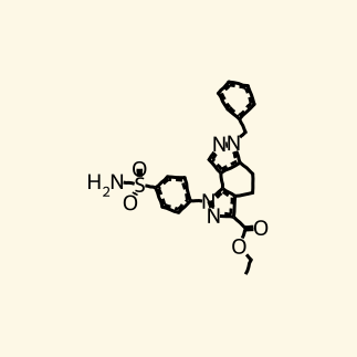 CCOC(=O)c1nn(-c2ccc(S(N)(=O)=O)cc2)c2c1CCc1c-2cnn1Cc1ccccc1